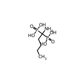 CCCCC(N)(P(=O)(O)O)P(=O)(O)O